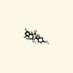 Cc1cc(F)cc2c1NCCC2(C)C(=O)n1nc2c(c1N)CCC(N)C2